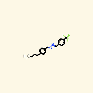 CCCCc1ccc(/C=N/N=C/c2ccc(C(F)(F)F)cc2)cc1